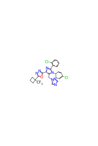 FC(F)(F)C1(c2nnc(-c3nc(-c4ccccc4Cl)n(C4C=CC(Cl)=CC4)c3Cn3cncn3)o2)CCC1